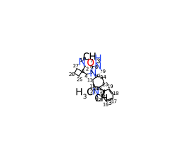 C/N=C/C1(CN2C(=O)NC[C@]23CC[C@](c2ccccc2)(N(C)C)CC3)CCC1